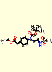 CCOC(=O)CC1CCC(N(CCNS(C)(=O)=O)C(=O)OC(C)(C)C)CC1